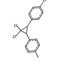 COc1ccc(C2C(c3ccc(C)cc3)C2(Cl)Cl)cc1